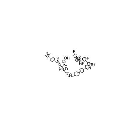 Cc1ncsc1-c1ccc(CNC(=O)[C@@H]2C[C@@H](O)CN2C(=O)[C@@H](NC(=O)CN2CCN(CC3CCN(c4ccc(-c5cnc6[nH]cc(-c7c(F)ccc(NS(=O)(=O)N8CC[C@@H](F)C8)c7F)c6c5)cc4)CC3)CC2)C(C)(C)C)cc1